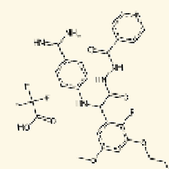 CCCOc1cc(OC)cc(C(Nc2ccc(C(=N)N)cc2)C(=O)NNC(=O)c2ccncc2)c1F.O=C(O)C(F)(F)F